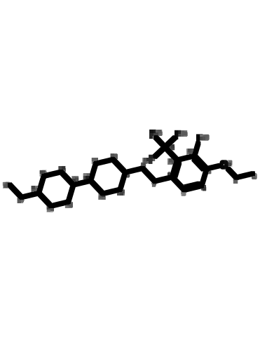 CCOc1ccc(CCC2CCC(C3CCC(CC)CC3)CC2)c(C(F)(F)F)c1F